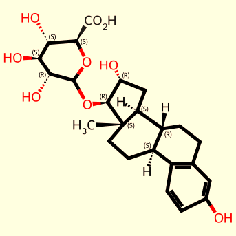 C[C@]12CC[C@@H]3c4ccc(O)cc4CC[C@H]3[C@@H]1C[C@@H](O)[C@@H]2OC1O[C@H](C(=O)O)[C@@H](O)[C@H](O)[C@H]1O